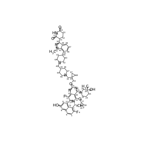 CCc1c(F)ccc2cc(O)cc(-c3nc(OC4CC4)c4c(N5CCC[C@@](C)(O)C5)nc(OCC5(CN6CCC(CN7CCC(c8cccc9c(C%10CCC(=O)NC%10=O)nn(C)c89)CC7)CC6)CC5)nc4c3F)c12